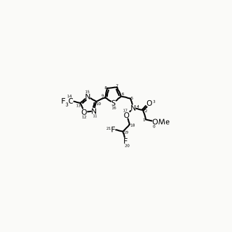 COCC(=O)N(Cc1ccc(-c2noc(C(F)(F)F)n2)s1)OCC(F)F